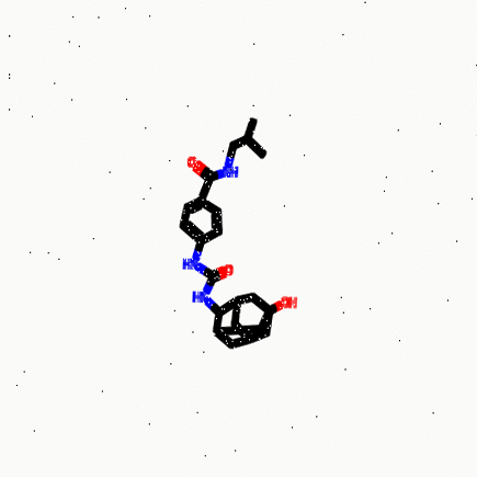 CC(C)CNC(=O)c1ccc(NC(=O)NC2C3CC4CC2CC(O)(C4)C3)cc1